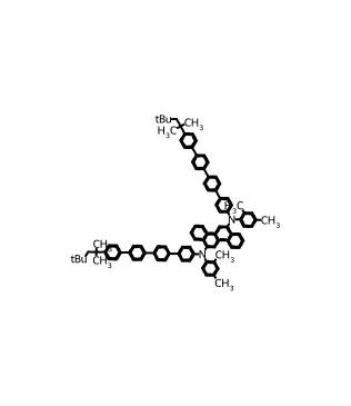 Cc1ccc(N(c2ccc(-c3ccc(-c4ccc(-c5ccc(C(C)(C)CC(C)(C)C)cc5)cc4)cc3)cc2)c2cc3c4ccccc4c(N(c4ccc(-c5ccc(-c6ccc(-c7ccc(C(C)(C)CC(C)(C)C)cc7)cc6)cc5)cc4)c4ccc(C)cc4C)cc3c3ccccc23)c(C)c1